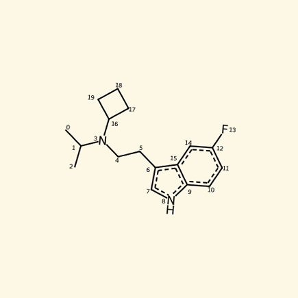 CC(C)N(CCc1c[nH]c2ccc(F)cc12)C1CCC1